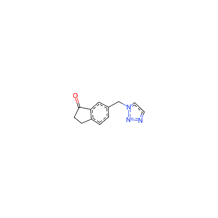 O=C1CCc2ccc(Cn3ccnn3)cc21